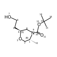 C[C@@H]1CO[C@@H](CCO)CN1C(=O)OC(C)(C)C